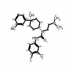 CN(C)CCN(C(=O)Nc1ccc(F)c(Cl)c1)[C@H]1CC[C@](O)(c2cccc(C#N)c2)CC1